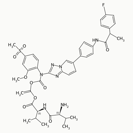 C=C(OC(=O)[C@@H](NC(=O)[C@@H](N)C(C)C)C(C)C)OC(=O)N(c1nc2ccc(-c3ccc(NC(=O)C(C)c4ccc(F)cc4)cc3)cn2n1)c1ccc(S(C)(=O)=O)cc1OC